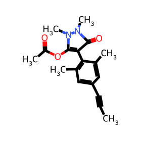 CC#Cc1cc(C)c(-c2c(OC(C)=O)n(C)n(C)c2=O)c(C)c1